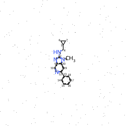 Cn1c(NCC2CC2)nc2cnc(-c3ccccc3)cc21